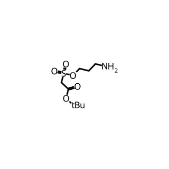 CC(C)(C)OC(=O)CS(=O)(=O)OCCCN